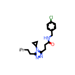 CC(C)CCc1nnc(CCC(=O)NCc2ccc(Cl)cc2)n1C1CC1